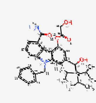 CC(C)[Si](C(C)C)(C(C)C)C(O)c1cc(OC(=O)CO)c2c3c(C(N)=O)cccc3n(Cc3ccccc3)c2c1